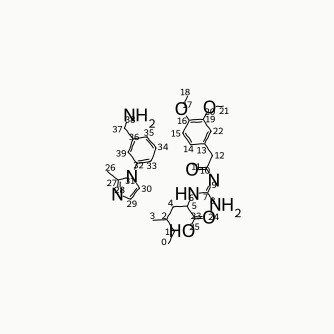 CCC(C)CC(NC(N)=NC(=O)Cc1ccc(OC)c(OC)c1)C(=O)O.Cc1nccn1-c1cccc(CN)c1